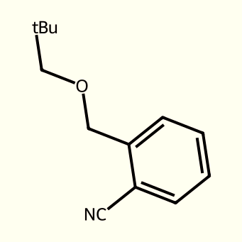 CC(C)(C)COCc1ccccc1C#N